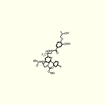 COc1cc(C(=O)NC[C@@](O)(c2cc3c(c(-c4ccc(F)cc4)n2)N(C(=O)OC(C)(C)C)C[C@@]3(C)N[S+]([O-])C(C)(C)C)C(F)(F)F)ccc1OC[C@@H](C)O